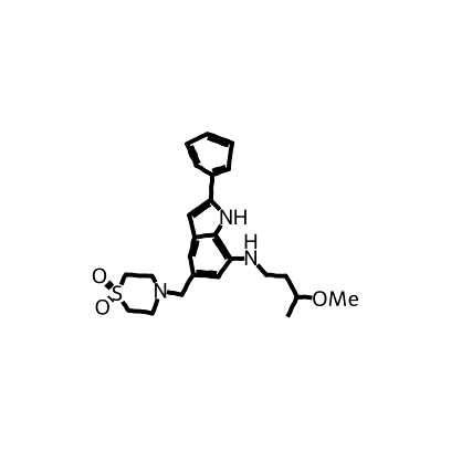 COC(C)CCNc1cc(CN2CCS(=O)(=O)CC2)cc2cc(-c3ccccc3)[nH]c12